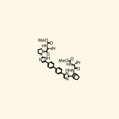 COC(=O)N[C@H](C(=O)N[C@H]1C2CCC(C2)C1c1ncc(-c2ccc(-c3ccc(-c4cnc([C@@H]5CCCN5C(=O)[C@@H](NC(=O)OC)C(C)C)[nH]4)cc3)cc2)[nH]1)C(C)C